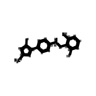 Cc1nc(C(F)(F)F)cn1-c1ccc(NCc2c(F)cccc2F)cc1